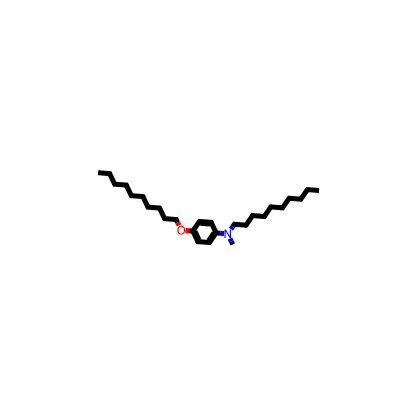 CCCCCCCCCCOc1ccc(N(C)CCCCCCCCCC)cc1